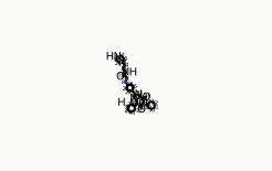 CC12N=C(c3ccc(/C=C/C(=O)NCCN4CCNCC4)cc3)N=C1C(=O)N(C1CCCCC1)C(=O)N2C1CCCCC1